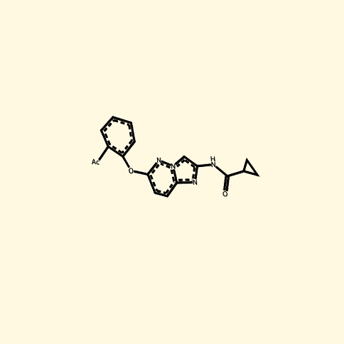 CC(=O)c1ccccc1Oc1ccc2nc(NC(=O)C3CC3)cn2n1